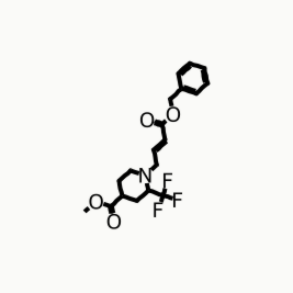 COC(=O)C1CCN(CC=CC(=O)OCc2ccccc2)C(C(F)(F)F)C1